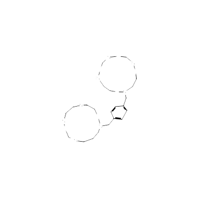 c1cc(CN2CCCNCCNCCNCCC2)ccc1CN1CCCNCCNCCNCCC1